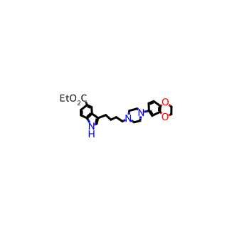 CCOC(=O)c1ccc2[nH]cc(CCCCN3CCN(c4ccc5c(c4)OCCO5)CC3)c2c1